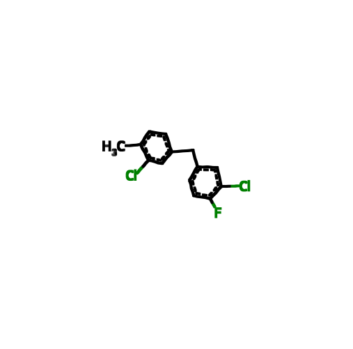 Cc1ccc(Cc2ccc(F)c(Cl)c2)cc1Cl